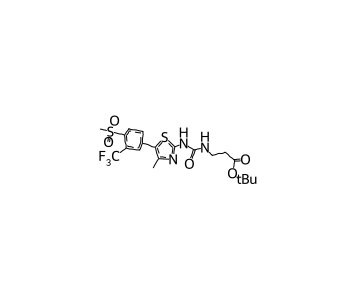 Cc1nc(NC(=O)NCCC(=O)OC(C)(C)C)sc1-c1ccc(S(C)(=O)=O)c(C(F)(F)F)c1